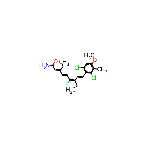 CCC(/C=C/C(F)=C(\C=C\c1c(Cl)cc(OC)c(C)c1Cl)CC)=C\C(N)=O